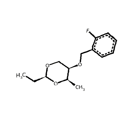 CC[C@H]1OC[C@@H](OCc2ccccc2F)[C@@H](C)O1